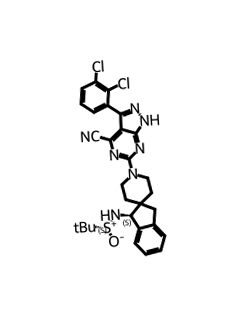 CC(C)(C)[S@@+]([O-])N[C@@H]1c2ccccc2CC12CCN(c1nc(C#N)c3c(-c4cccc(Cl)c4Cl)n[nH]c3n1)CC2